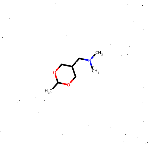 CC1OCC(CN(C)C)CO1